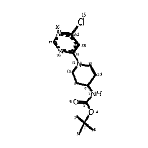 CC(C)(C)OC(=O)NC1CCN(c2cc(Cl)ncn2)CC1